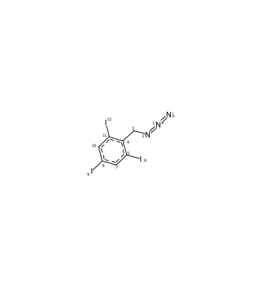 [N-]=[N+]=NCc1c(I)cc(I)cc1I